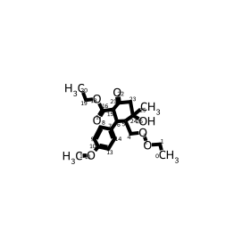 CCOOCC1C(c2ccc(OC)cc2)C(C(=O)OCC)C(=O)CC1(C)O